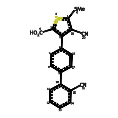 CSc1sc(C(=O)O)c(-c2ccc(-c3ccccc3C#N)cc2)c1C#N